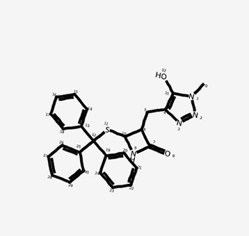 Cn1nnc(CC2C(=O)NC2SC(c2ccccc2)(c2ccccc2)c2ccccc2)c1O